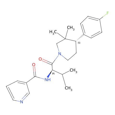 CC(C)[C@@H](NC(=O)c1cccnc1)C(=O)N1CC[C@@H](c2ccc(F)cc2)C(C)(C)C1